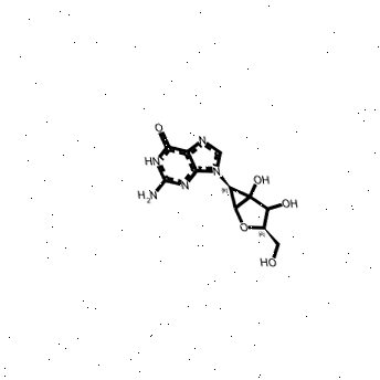 Nc1nc2c(ncn2[C@@H]2C3O[C@H](CO)C(O)C32O)c(=O)[nH]1